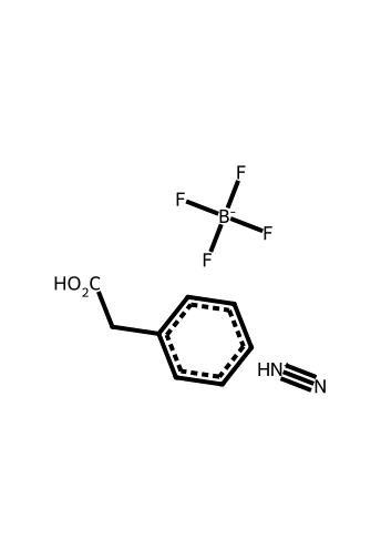 F[B-](F)(F)F.N#[NH+].O=C(O)Cc1ccccc1